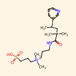 CC(CC(C)(C)C(=O)NCCC[N+](C)(C)CCCS(=O)(=O)O)c1cccnc1